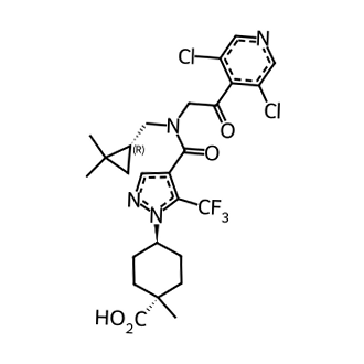 CC1(C)C[C@H]1CN(CC(=O)c1c(Cl)cncc1Cl)C(=O)c1cnn([C@H]2CC[C@](C)(C(=O)O)CC2)c1C(F)(F)F